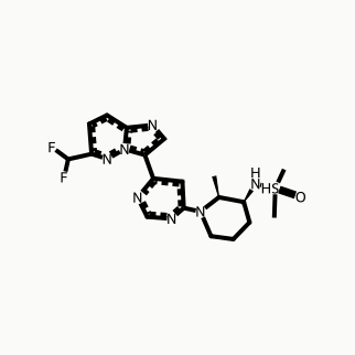 C[C@H]1[C@@H](N[SH](C)(C)=O)CCCN1c1cc(-c2cnc3ccc(C(F)F)nn23)ncn1